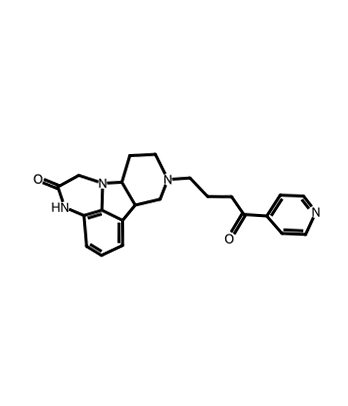 O=C1CN2c3c(cccc3C3CN(CCCC(=O)c4ccncc4)CCC32)N1